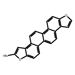 CCCCc1cc2c(ccc3c2ccc2c4ccc5occc5c4ccc32)o1